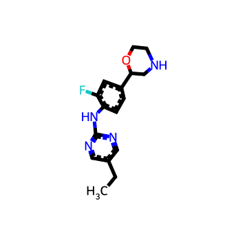 CCc1cnc(Nc2ccc(C3CNCCO3)cc2F)nc1